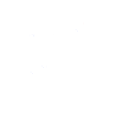 BN(CC)C1CCC(c2c[nH]c3ccc(NC(=N)c4cccs4)cc23)CC1